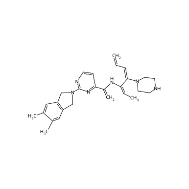 C=C/C=C(\C(=C/C)NC(=C)c1ccnc(N2Cc3cc(C)c(C)cc3C2)n1)N1CCNCC1